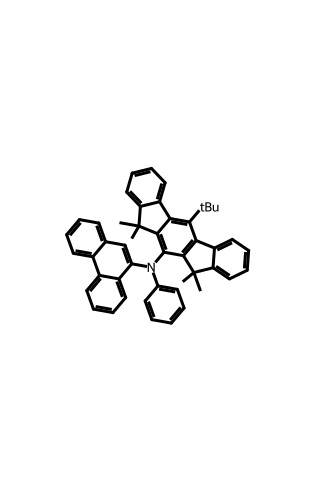 CC(C)(C)c1c2c(c(N(c3ccccc3)c3cc4ccccc4c4ccccc34)c3c1-c1ccccc1C3(C)C)C(C)(C)c1ccccc1-2